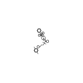 Cc1ccc(C)c(OCCCC(C)(C)C(=O)N2CCN(S(=O)(=O)c3ccccc3)CC2)c1